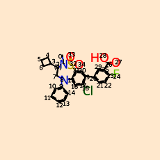 CN1[C@H](C2CCC2)CN(c2ccccc2)c2cc(Cl)c(-c3ccc(F)c(C(=O)O)c3)cc2S1(=O)=O